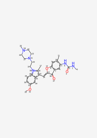 CNC(=O)Nc1cc2c(cc1C)OC(=Cc1c(C)n(CCN3CCN(C)CC3)c3ccc(OC)cc13)C2=O